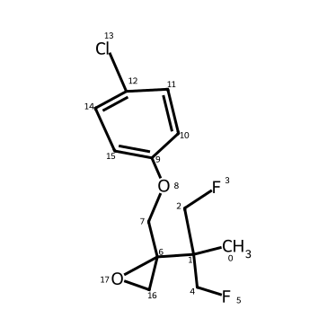 CC(CF)(CF)C1(COc2ccc(Cl)cc2)CO1